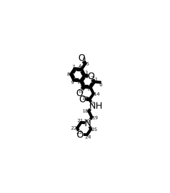 Cc1oc2c(C=O)cccc2c(=O)c1CC(=O)NCCN1CCOCC1